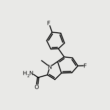 Cn1c(C(N)=O)cc2cc(F)cc(-c3ccc(F)cc3)c21